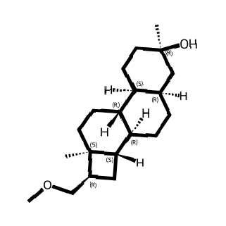 COC[C@@H]1C[C@H]2[C@@H]3CC[C@@H]4C[C@](C)(O)CC[C@@H]4[C@H]3CC[C@]12C